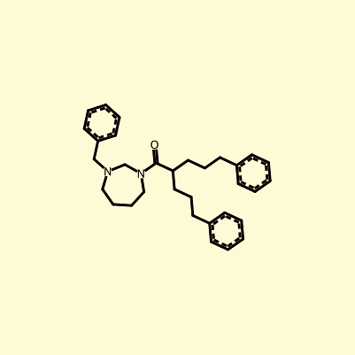 O=C(C(CCCc1ccccc1)CCCc1ccccc1)N1CCCCN(Cc2ccccc2)C1